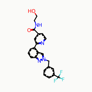 O=C(NCCO)c1ccnc(-c2cccc3nn(Cc4cccc(C(F)(F)F)c4)cc23)c1